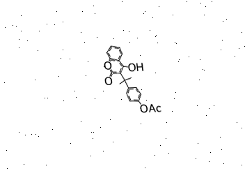 CC(=O)Oc1ccc(C(C)(C)c2c(O)c3ccccc3oc2=O)cc1